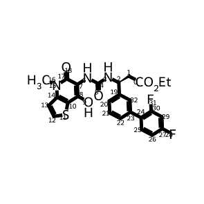 CCOC(=O)C[C@H](NC(=O)Nc1c(O)c2sccc2n(C)c1=O)c1cccc(-c2ccc(F)cc2F)c1